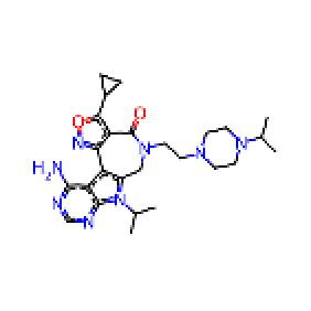 CC(C)N1CCN(CCN2Cc3c(c4c(N)ncnc4n3C(C)C)-c3noc(C4CC4)c3C2=O)CC1